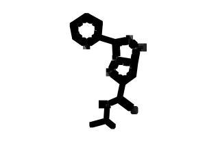 CC(C)NC(=O)c1cc2[nH]nc(-c3ccccn3)n2n1